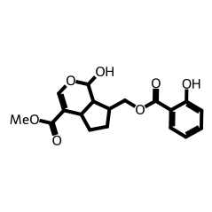 COC(=O)C1=COC(O)C2C(COC(=O)c3ccccc3O)CCC12